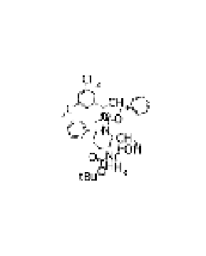 CC(OC[C@@]1(c2ccccc2)CCC(NC(=O)OC(C)(C)C)(C(C)(C)O)CN1C(=O)OCc1ccccc1)c1cc(C(F)(F)F)cc(C(F)(F)F)c1